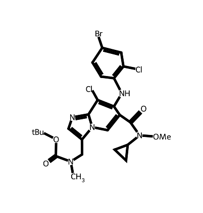 CON(C(=O)c1cn2c(CN(C)C(=O)OC(C)(C)C)cnc2c(Cl)c1Nc1ccc(Br)cc1Cl)C1CC1